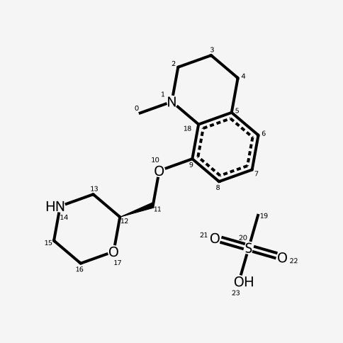 CN1CCCc2cccc(OC[C@@H]3CNCCO3)c21.CS(=O)(=O)O